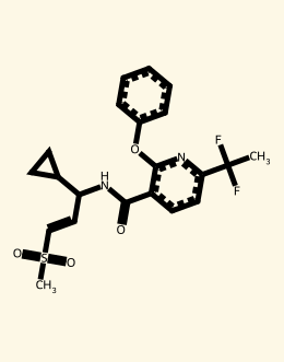 CC(F)(F)c1ccc(C(=O)NC(C=CS(C)(=O)=O)C2CC2)c(Oc2ccccc2)n1